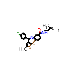 Cc1cc2c(s1)Sc1ccc(C(=O)NCCC(C)C)cc1N=C2c1ccc(F)cc1